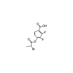 CC(Br)C(=O)Oc1ccc(C(=O)O)c(F)c1F